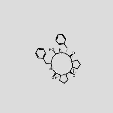 O=C1N[C@@H](Cc2ccccc2)CC(O)N[C@H](Cc2ccccc2)C(=O)N2CCC[C@H]2C(=O)N2CCC[C@@H]12